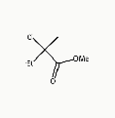 C[CH]C(C)(Cl)C(=O)OC